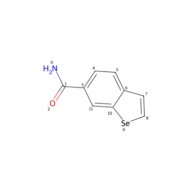 NC(=O)c1ccc2cc[se]c2c1